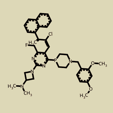 C=C(/C(Cl)=C\c1c(CF)nc(N2CC(N(C)C)C2)nc1P1CCN(Cc2ccc(OC)cc2OC)CC1)c1cccc2ccccc12